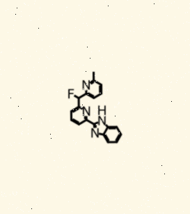 Cc1cccc(C(F)c2cccc(-c3nc4ccccc4[nH]3)n2)n1